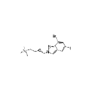 C[Si](C)(C)CCOCn1cc2cc(I)cc(Br)c2n1